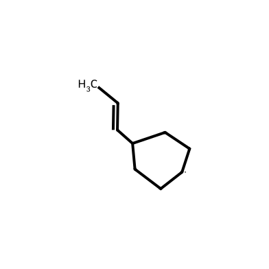 CC=CC1CC[CH]CC1